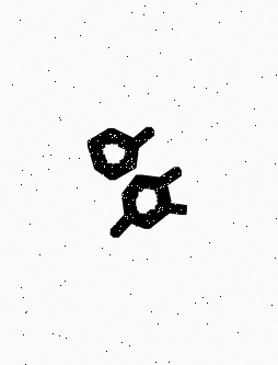 Cc1ccc(C)c(C)c1.Cc1ccccc1